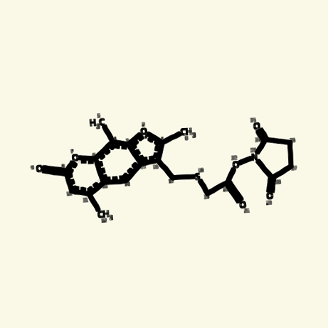 Cc1oc2c(C)c3oc(=O)cc(C)c3cc2c1CSCC(=O)ON1C(=O)CCC1=O